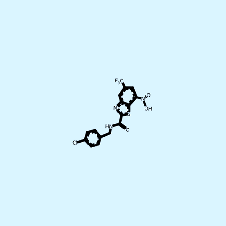 O=C(NCc1ccc(Cl)cc1)c1nc2cc(C(F)(F)F)cc([N+](=O)O)c2s1